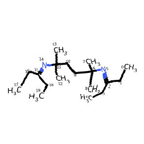 CCC(CC)=NC(C)(C)CCC(C)(C)N=C(CC)CC